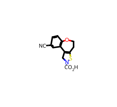 N#Cc1ccc2c(c1)C1=C(CCO2)SN(C(=O)O)C1